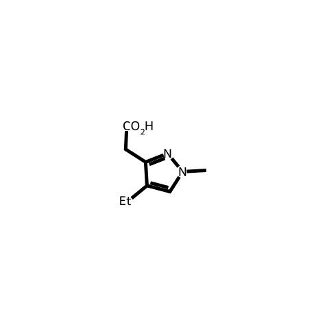 CCc1cn(C)nc1CC(=O)O